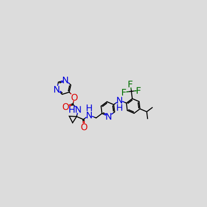 CC(C)c1ccc(Nc2ccc(CNC(=O)C3(NC(=O)Oc4cncnc4)CC3)nc2)c(C(F)(F)F)c1